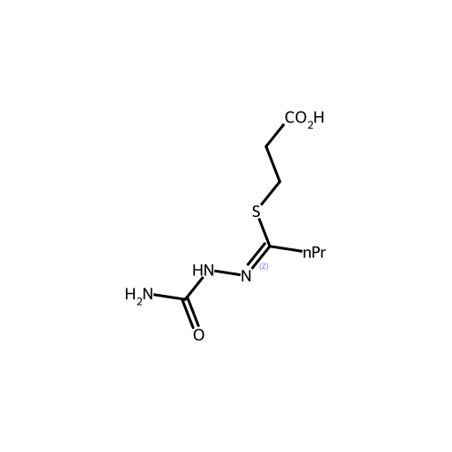 CCC/C(=N/NC(N)=O)SCCC(=O)O